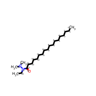 CCCCCCCCCCCCCCCCCC(=O)N(CC)N(C)C